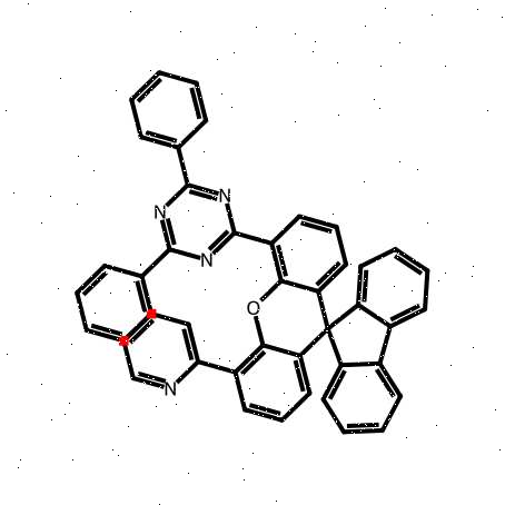 c1ccc(-c2nc(-c3ccccc3)nc(-c3cccc4c3Oc3c(-c5ccccn5)cccc3C43c4ccccc4-c4ccccc43)n2)cc1